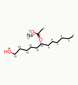 CC(=O)[O-].CCCCCCCCCCCCO.[Na+]